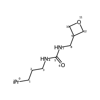 CC(C)CCCNC(=O)NCC1COC1